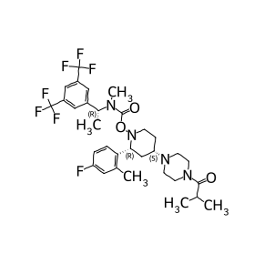 Cc1cc(F)ccc1[C@H]1C[C@@H](N2CCN(C(=O)C(C)C)CC2)CCN1OC(=O)N(C)[C@H](C)c1cc(C(F)(F)F)cc(C(F)(F)F)c1